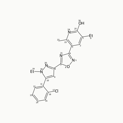 CCc1cc(-c2noc(-c3cc(-c4ccccc4Cl)n(CC)n3)n2)c(C)nc1O